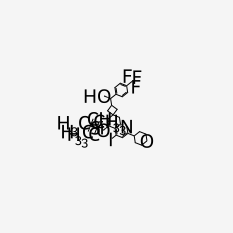 CC(C)(C)[Si](C)(C)O[C@H]1CC2(Cc3nc(C4CCOCC4)cc(I)c31)CC([C@@H](O)c1ccc(C(F)(F)F)cc1)C2